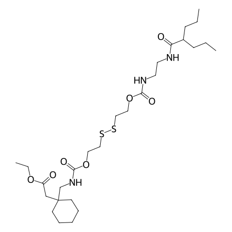 CCCC(CCC)C(=O)NCCNC(=O)OCCSSCCOC(=O)NCC1(CC(=O)OCC)CCCCC1